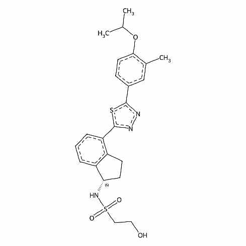 Cc1cc(-c2nnc(-c3cccc4c3CC[C@@H]4NS(=O)(=O)CCO)s2)ccc1OC(C)C